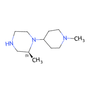 C[C@H]1CNCCN1C1CCN(C)CC1